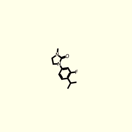 CC(C)c1ccc(N2CCN(C)C2=O)cc1F